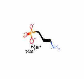 NC=CCP(=O)([O-])[O-].[Na+].[Na+]